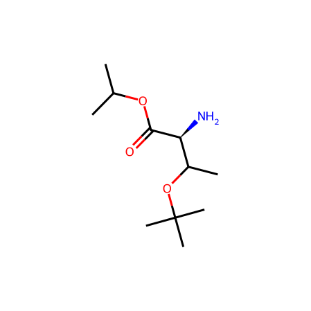 CC(C)OC(=O)[C@@H](N)C(C)OC(C)(C)C